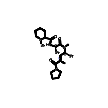 C/C(=C\[C@H](C(C)C)N(C)C(=O)[C@@H](NC(=O)C1CCCCN1C(C)C)C(C)C)C(=O)N1CCCC1